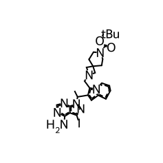 CC(c1cc2ccccn2c1CN1CC2(CCN(C(=O)OC(C)(C)C)CC2)C1)n1nc(I)c2c(N)ncnc21